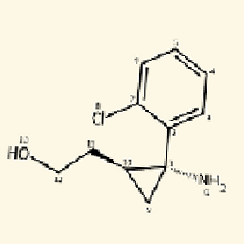 N[C@]1(c2ccccc2Cl)C[C@H]1CCO